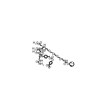 COC(=O)CC[C@H](NC(=O)CCOCCOCCOCCOCCNC(=O)COC1C#CCCCCC1)C(=O)N[C@H](C(=O)N[C@@H](CCCNC(N)=O)C(=O)Nc1ccc(COC(=O)Oc2ccc([N+](=O)[O-])cc2)cc1)C(C)C